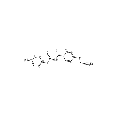 CCOC(=O)COc1ccc([C@@H](C)NC(=O)Cc2ccc(C(C)C)cc2)nc1